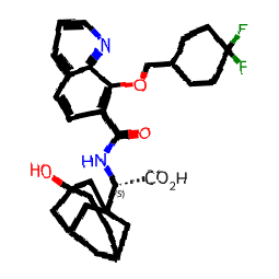 O=C(N[C@H](C(=O)O)C12CC3CC(CC(O)(C3)C1)C2)c1ccc2cccnc2c1OCC1CCC(F)(F)CC1